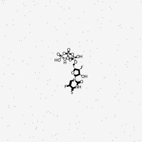 O=c1[nH]c(=S)c(F)cn1[C@@H]1O[C@H](COP(=O)(O)OP(=O)(O)OP(=O)(O)O)[C@H](F)[C@@H]1O